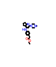 CCOC(=O)Cc1ccc(Nc2cc(N3CCN(C)CC3)nc3c2CCC3)cc1